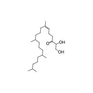 CC(=CCCC(=O)C(O)CO)CCCC(C)CCCC(C)CCCC(C)C